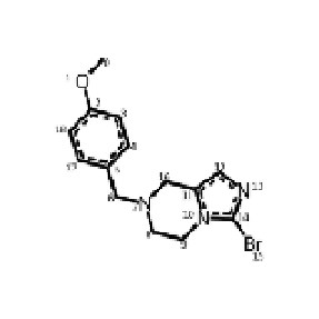 COc1ccc(CN2CCn3c(cnc3Br)C2)cc1